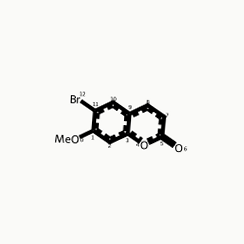 COc1cc2oc(=O)ccc2cc1Br